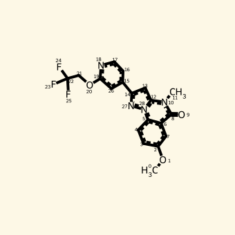 COc1ccc2c(c1)c(=O)n(C)c1cc(-c3ccnc(OCC(F)(F)F)c3)nn21